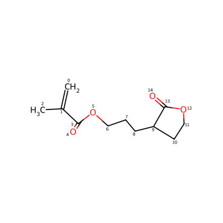 C=C(C)C(=O)OCCCC1CCOC1=O